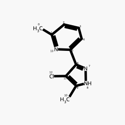 Cc1cccc(-c2n[nH]c(C)c2Cl)n1